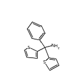 NC(c1ccccc1)(c1cccs1)c1cccs1